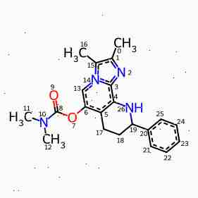 Cc1nc2c3c(c(OC(=O)N(C)C)cn2c1C)CCC(c1ccccc1)N3